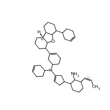 C/C=C\C1CCCC(C2CC=C(N(C3CC=CCC3)C3CCC=C(C4CCC[C@@H]5C6CCCC(C7CC=CCC7)C6OC45)C3)C2)C1N